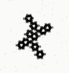 c1ccc(-c2ccc(N(c3ccc4ccccc4c3)c3ccc(N(c4ccc(-c5ccccc5)cc4)c4ccc5ccccc5c4)c4ccccc34)cc2)cc1